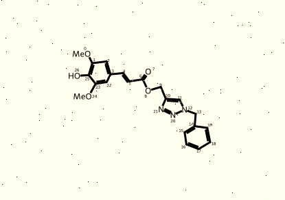 COc1cc(/C=C/C(=O)OCc2cn(Cc3ccccc3)nn2)cc(OC)c1O